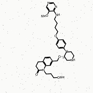 COCCCN1C(=O)CCc2ccc(CO[C@H]3CNCC[C@@H]3c3ccc(OCCCCNc4ncncc4OC)cc3)cc21